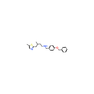 Cc1cnc(CC(C)CCNCc2ccc(OCc3ccccc3)cc2)s1